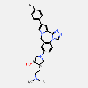 CN(C)CC[C@H]1CN(c2ccc3c(c2)Cn2cc(-c4ccc(C#N)cc4)cc2-c2nncn2-3)C[C@H]1O